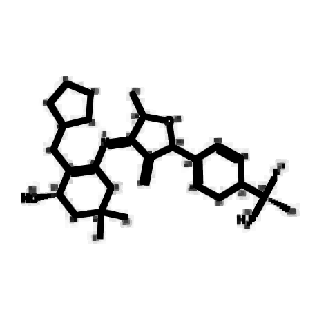 C=C1/C(=N\C2=C(CC3CCCC3)[C@@H](O)CC(C)(C)C2)C(C)OC1C1=CCC([C@@](C)(F)P)C=C1